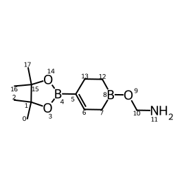 CC1(C)OB(C2=CCB(OCN)CC2)OC1(C)C